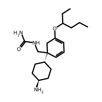 CCCC(CC)OC1=CC=CC(CNC(N)=O)([C@H]2CC[C@H](N)CC2)C1